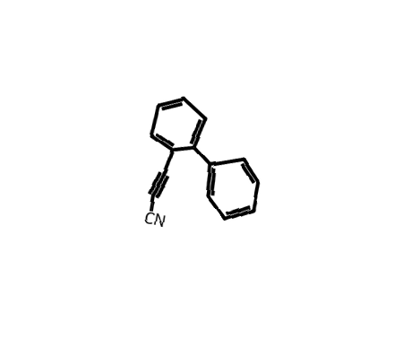 N#CC#Cc1ccccc1-c1ccccc1